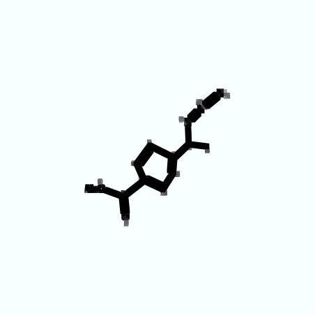 COC(=O)c1ccc(C(C)N=[N+]=[N-])cc1